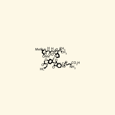 C#CCN1C(=O)COc2cc(F)c(N3C(=O)C4=C(CCCC4)C3=O)cc21.COc1cc(OC)nc(NC(=O)NS(=O)(=O)c2ncccc2C(=O)N(C)C)n1.CP(=O)(O)CCC(N)C(=O)O